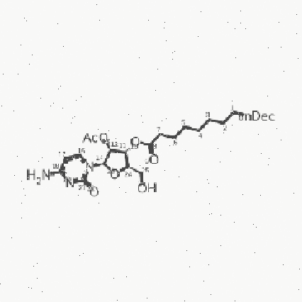 CCCCCCCCCCCCCCCCCC(=O)O[C@H]1[C@H](OC(C)=O)[C@H](n2ccc(N)nc2=O)O[C@@H]1CO